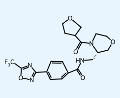 O=C(NC[C@H]1COCCN1C(=O)C1CCOC1)c1ccc(-c2noc(C(F)(F)F)n2)cc1